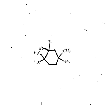 CCC1(CC)CC(C)(N)CCC1(C)C